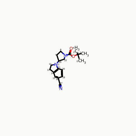 CC(C)(C)OC(=O)N1CCC(N2CCc3cc(C#N)ccc32)C1